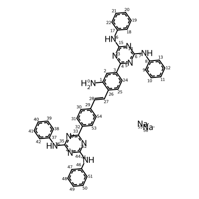 Nc1cc(-c2nc(Nc3ccccc3)nc(Nc3ccccc3)n2)ccc1C=Cc1ccc(-c2nc(Nc3ccccc3)nc(Nc3ccccc3)n2)cc1.[Na].[Na]